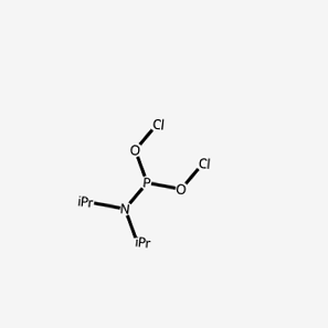 CC(C)N(C(C)C)P(OCl)OCl